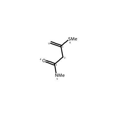 C=C(CC(=O)NC)SC